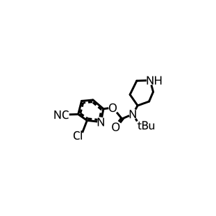 CC(C)(C)N(C(=O)Oc1ccc(C#N)c(Cl)n1)C1CCNCC1